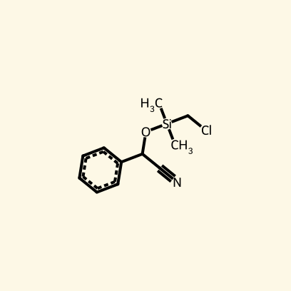 C[Si](C)(CCl)OC(C#N)c1ccccc1